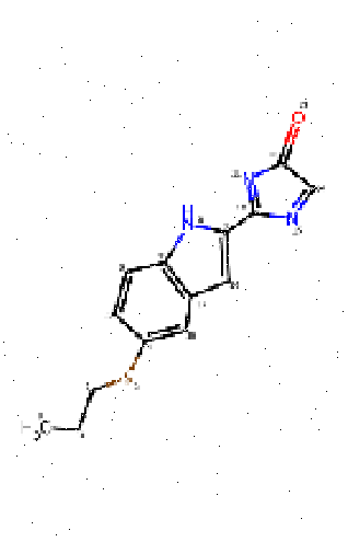 CCCSc1ccc2[nH]c(C3=NC(=O)C=N3)cc2c1